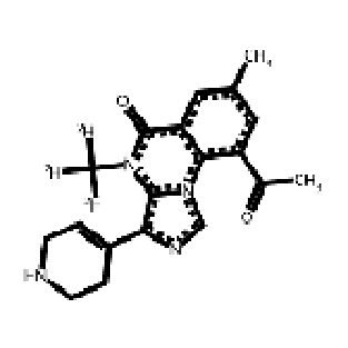 [2H]C([2H])([2H])n1c(=O)c2cc(C)cc(C(C)=O)c2n2cnc(C3=CCNCC3)c12